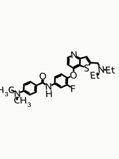 CCN(CC)Cc1cc2nccc(Oc3ccc(NC(=O)c4ccc(N(C)C)cc4)cc3F)c2s1